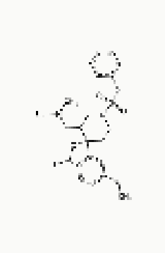 COc1cccc(C2(OC(F)F)CCN(S(=O)(=O)Cc3ccccc3)CC2CN(C)C)c1